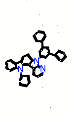 c1ccc(-c2cc(-c3ccccc3)cc(-n3c4ccc5c6ccccc6n(-c6ccccc6)c5c4c4cccnc43)c2)cc1